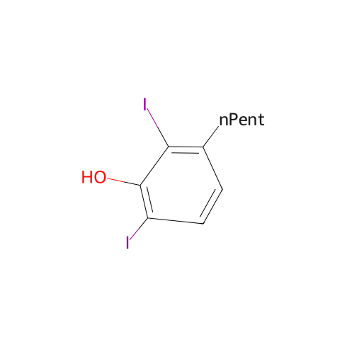 CCCCCc1ccc(I)c(O)c1I